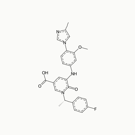 COc1cc(Nc2cc(C(=O)O)cn([C@@H](C)c3ccc(F)cc3)c2=O)ccc1-n1cnc(C)c1